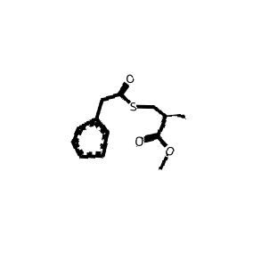 COC(=O)[C@H](C)CSC(=O)Cc1ccccc1